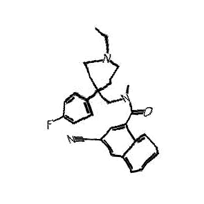 CCN1CCC(CN(C)C(=O)c2cc(C#N)cc3ccccc23)(c2ccc(F)cc2)CC1